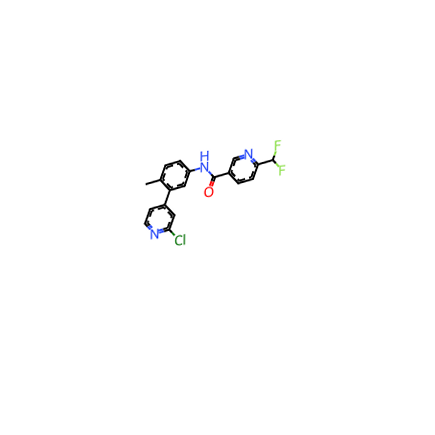 Cc1ccc(NC(=O)c2ccc(C(F)F)nc2)cc1-c1ccnc(Cl)c1